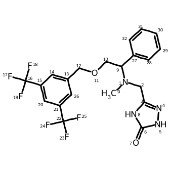 CN(Cc1n[nH]c(=O)[nH]1)C(COCc1cc(C(F)(F)F)cc(C(F)(F)F)c1)c1ccccc1